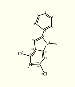 Cn1c(-c2ccccc2)cc2c(Cl)nc(Cl)cc21